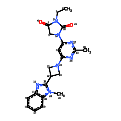 CCN1C(=O)CN(c2cc(N3CC(c4nc5ccccc5n4C)C3)nc(C)n2)C1=O